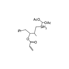 C=CC(=O)OC(CC(C)C)C(C)C[SiH2]C(OC(C)=O)OC(C)=O